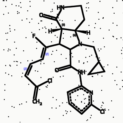 C=C(Cl)/C=C\C=C(/F)C1C(C(=O)Nc2cccc(Cl)n2)N(CC2CC2)[C@H]2CCNC(=O)[C@@H]12